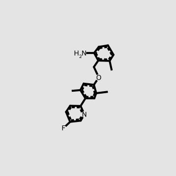 Cc1cc(-c2ccc(F)cn2)c(C)cc1OCc1c(C)cccc1N